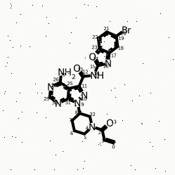 C=CC(=O)N1CCCC(n2nc(C(=O)Nc3nc4cc(Br)ccc4o3)c3c(N)ncnc32)C1